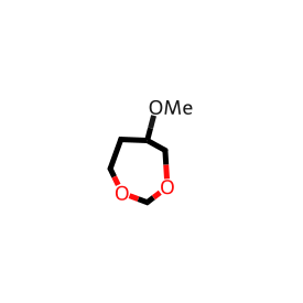 COC1CCOCOC1